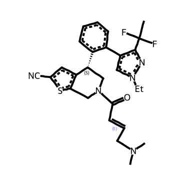 CCn1cc(-c2ccccc2[C@@H]2CN(C(=O)/C=C/CN(C)C)Cc3sc(C#N)cc32)c(C(C)(F)F)n1